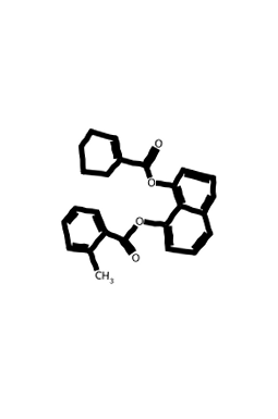 Cc1ccccc1C(=O)Oc1cccc2cccc(OC(=O)C3=CCCCC3)c12